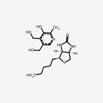 Cc1ncc(CO)c(CO)c1O.O=C(O)CCCC[C@@H]1SC[C@@H]2NC(=O)N[C@@H]21